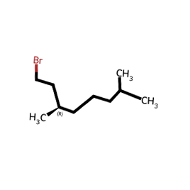 CC(C)CCC[C@@H](C)CCBr